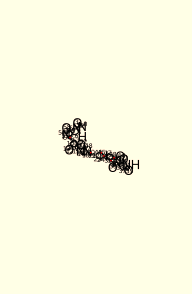 CNC(=O)N1CCc2c(-c3cc(OC)c(CN4CCN(CCC5CCN(c6ccc7c(c6)C(=O)N(C6CCC(=O)NC6=O)C7=O)CC5)C(C)C4)c(OC)c3)cn(C)c(=O)c2C1